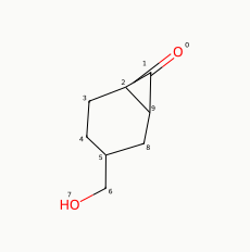 O=C1C2CCC(CO)CC12